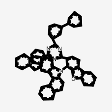 c1ccc(-c2cccc(-c3nc(-c4ccc5ccccc5c4)nc(-c4ccc5c(oc6ccccc65)c4-n4c5cc6ccccc6cc5c5c6ccccc6ccc54)n3)c2)cc1